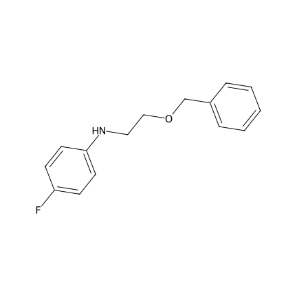 Fc1ccc(NCCOCc2ccccc2)cc1